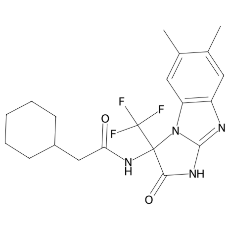 Cc1cc2nc3n(c2cc1C)C(NC(=O)CC1CCCCC1)(C(F)(F)F)C(=O)N3